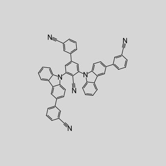 N#Cc1cccc(-c2cc(-n3c4ccccc4c4cc(-c5cccc(C#N)c5)ccc43)c(C#N)c(-n3c4ccccc4c4cc(-c5cccc(C#N)c5)ccc43)c2)c1